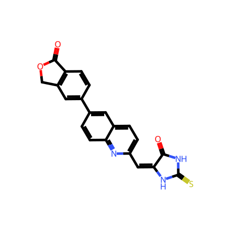 O=C1NC(=S)N/C1=C/c1ccc2cc(-c3ccc4c(c3)COC4=O)ccc2n1